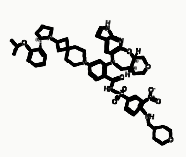 CC(C)Oc1ccccc1[C@@H]1CCCN1C1CC2(CCN(c3ccc(C(=O)NS(=O)(=O)c4ccc(NCC5CCOCC5)c([N+](=O)[O-])c4)c(N4C[C@H]5CCOC[C@@H]5Oc5nc6[nH]ccc6cc54)c3)CC2)C1